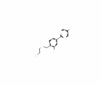 C[C@@H](CN)NCc1ccc(-c2ncc(F)cn2)cc1F